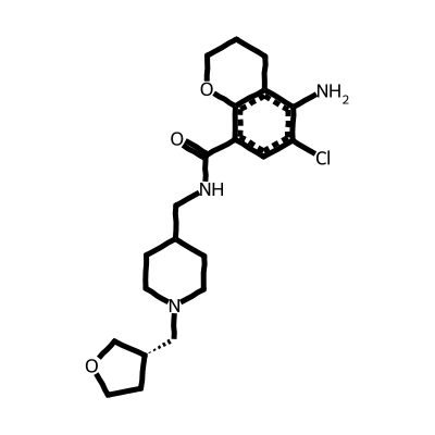 Nc1c(Cl)cc(C(=O)NCC2CCN(C[C@@H]3CCOC3)CC2)c2c1CCCO2